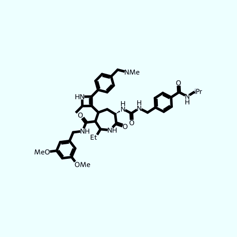 CCC1NC(=O)[C@@H](NC(=O)NCc2ccc(C(=O)NC(C)C)cc2)CC(C2=C(c3ccc(CNC)cc3)NC2C)C1C(=O)NCc1cc(OC)cc(OC)c1